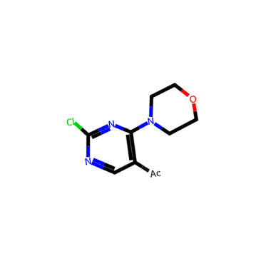 CC(=O)c1cnc(Cl)nc1N1CCOCC1